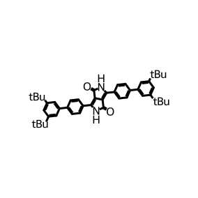 CC(C)(C)c1cc(-c2ccc(C3=C4C(=O)NC(c5ccc(-c6cc(C(C)(C)C)cc(C(C)(C)C)c6)cc5)=C4C(=O)N3)cc2)cc(C(C)(C)C)c1